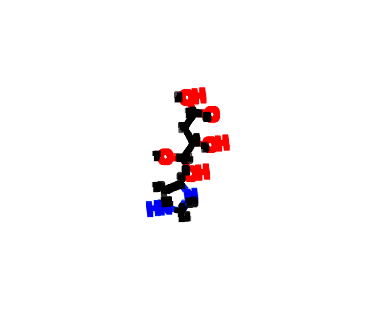 O=C(O)CC(O)C(=O)O.c1c[nH]cn1